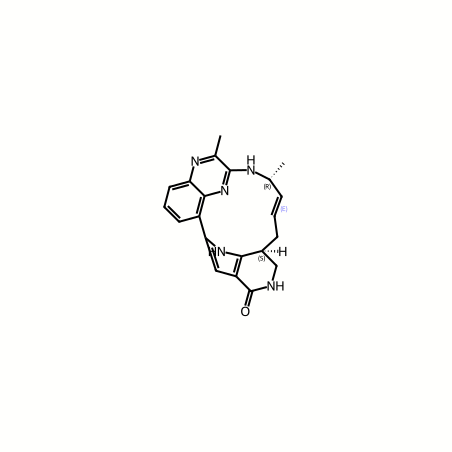 Cc1nc2cccc3c2nc1N[C@H](C)/C=C/C[C@H]1CNC(=O)c2cc-3[nH]c21